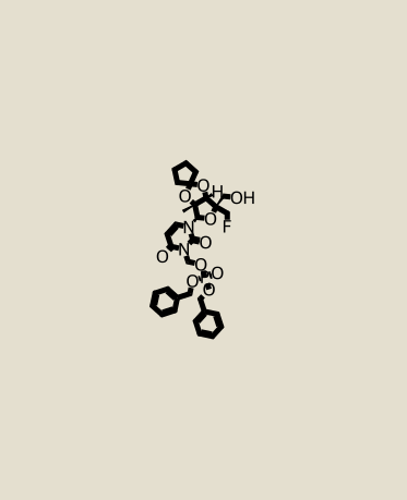 C[C@@]12OC3(CCCC3)O[C@@H]1[C@](CO)(CF)O[C@H]2n1ccc(=O)n(COP(=O)(OCc2ccccc2)OCc2ccccc2)c1=O